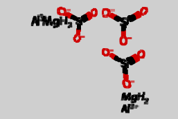 O=[Si]([O-])[O-].O=[Si]([O-])[O-].O=[Si]([O-])[O-].[Al+3].[Al+3].[MgH2].[MgH2]